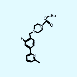 Cc1cccc(-c2ccc(CN3CCN(C(=O)OC(C)(C)C)CC3)c(F)c2)n1